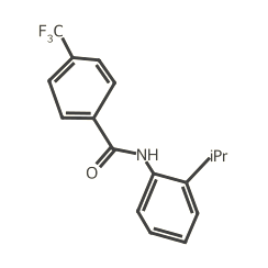 CC(C)c1ccccc1NC(=O)c1ccc(C(F)(F)F)cc1